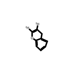 [2H]C1=C([2H])Oc2ccccc2C1